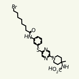 CC1(NC(=O)O)CCN(c2cnc(Sc3cccc(NC(=O)CCCCCCCBr)c3)cn2)CC1